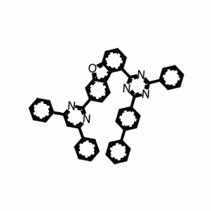 c1ccc(-c2ccc(-c3nc(-c4ccccc4)nc(-c4cccc5oc6cc(-c7nc(-c8ccccc8)cc(-c8ccccc8)n7)ccc6c45)n3)cc2)cc1